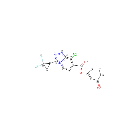 O=C1C=C(OC(=O)c2ccn3c(C4CC4(F)F)nnc3c2Cl)CCC1